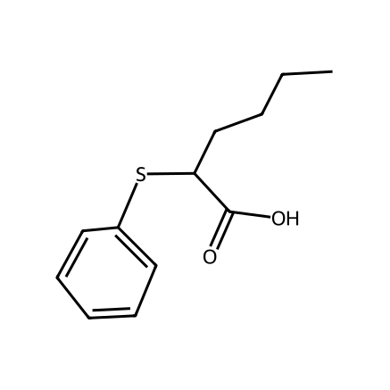 CCCCC(Sc1ccccc1)C(=O)O